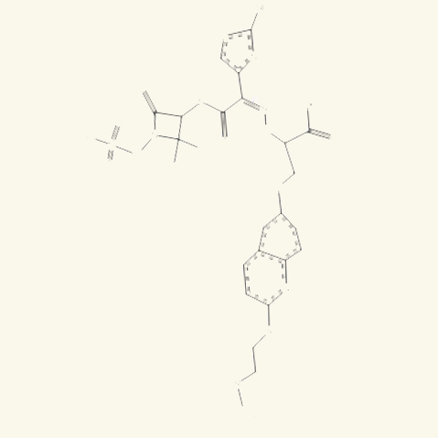 CNCCNc1ccc2cc(OCC(O/N=C(\C(=O)NC3C(=O)N(OS(=O)(=O)O)C3(C)C)c3csc(N)n3)C(=O)O)ccc2n1